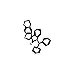 O=C1N(C(c2ccccc2)c2ccccc2)c2ccccc2C12COc1cc3c(cc12)CCCO3